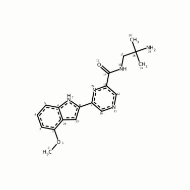 COc1cccc2[nH]c(-c3cncc(C(=O)NCC(C)(C)N)n3)cc12